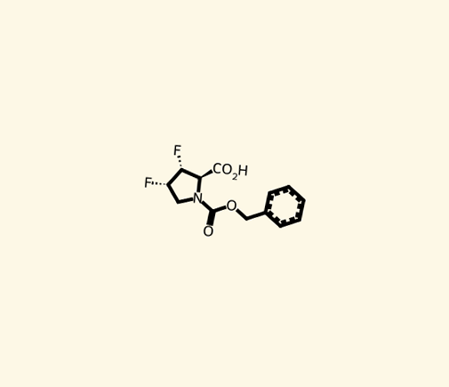 O=C(O)[C@@H]1[C@@H](F)[C@@H](F)CN1C(=O)OCc1ccccc1